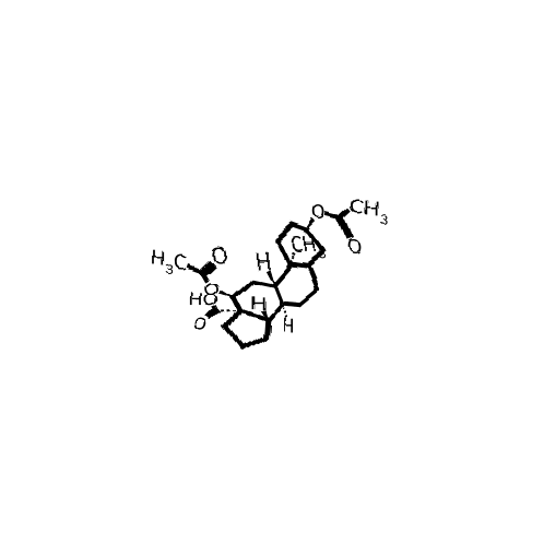 CC(=O)O[C@@H]1CC[C@@]2(C)C(CC[C@H]3[C@@H]4CCC[C@@]4(C(=O)O)[C@@H](OC(C)=O)C[C@@H]32)C1